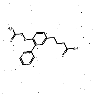 NC(=O)COc1ccc(CCCC(=O)O)cc1-c1ccccc1